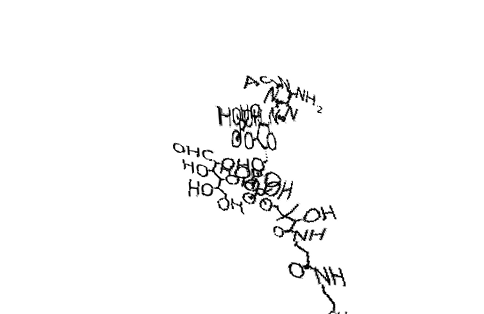 CC(=O)c1nc(N)c2ncn([C@@H]3O[C@H](COP(=O)(O)OP(=O)(O)OCC(C)(C)C(O)C(=O)NCCC(=O)NCCS)[C@@H](OP(=O)(O)O)[C@H]3O)c2n1.O=CC(O)C(O)C(O)C(O)CO